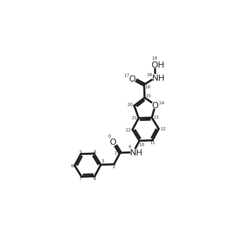 O=C(Cc1ccccc1)Nc1ccc2oc(C(=O)NO)cc2c1